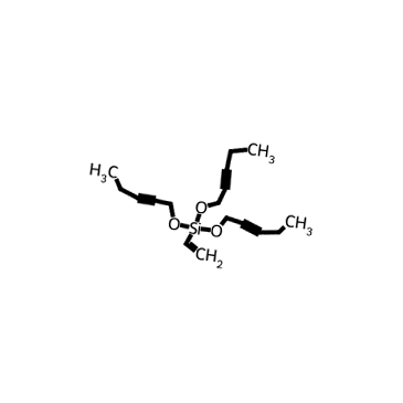 C=C[Si](OCC#CCC)(OCC#CCC)OCC#CCC